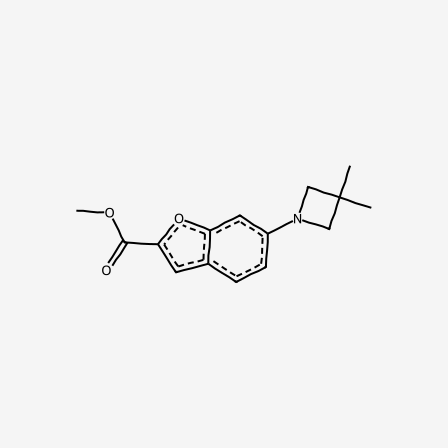 COC(=O)c1cc2ccc(N3CC(C)(C)C3)cc2o1